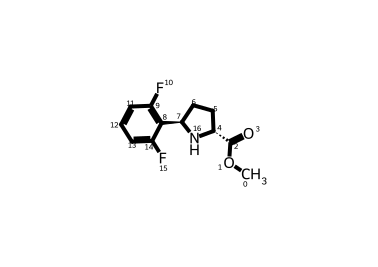 COC(=O)[C@H]1CC[C@H](c2c(F)cccc2F)N1